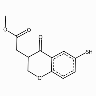 COC(=O)CC1COc2ccc(S)cc2C1=O